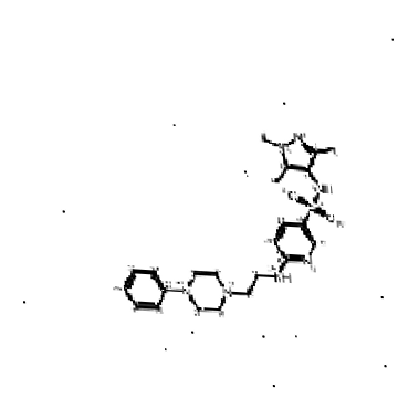 Cc1nn(C)c(C)c1NS(=O)(=O)c1ccc(NCCN2CCN(c3ccccc3)CC2)nc1